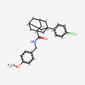 O=C(NCc1ccc(OC(F)(F)F)cc1)C12CC3CC(C1)CC(c1ccc(Cl)cc1)(C3)C2